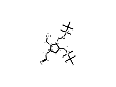 CC(C)(C)[Si](C)(C)OC[C@H]1[C@H](CO)[C@H](OC=O)C[C@@H]1O[Si](C)(C)C(C)(C)C